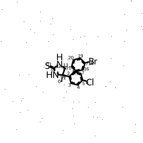 C[C@@]1(c2ccc(Cl)cc2)NC(=S)N[C@@H]1c1ccc(Br)cc1